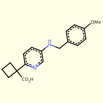 COc1ccc(CNc2ccc(C3(C(=O)O)CCC3)nc2)cc1